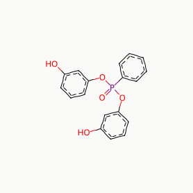 O=P(Oc1cccc(O)c1)(Oc1cccc(O)c1)c1ccccc1